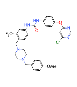 COc1ccc(CN2CCN(Cc3ccc(NC(=O)Nc4ccc(Oc5cc(Cl)ncn5)cc4)cc3C(F)(F)F)CC2)cc1